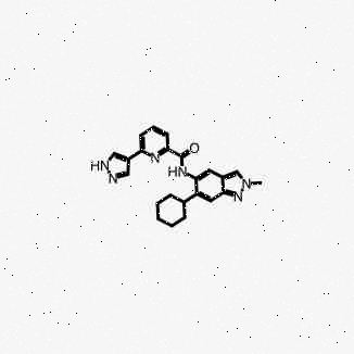 Cn1cc2cc(NC(=O)c3cccc(-c4cn[nH]c4)n3)c(C3CCCCC3)cc2n1